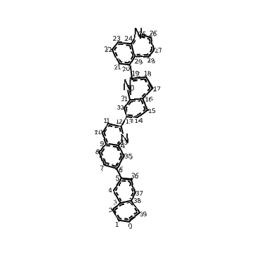 c1ccc2cc(-c3ccc4ccc(-c5ccc6ccc(-c7cccc8ncccc78)nc6c5)nc4c3)ccc2c1